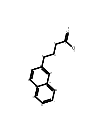 O=C(Cl)CCCc1ccc2ccccc2c1